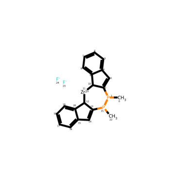 CP1C2=Cc3ccccc3[CH]2[Zr+2][CH]2C(=Cc3ccccc32)P1C.[F-].[F-]